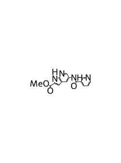 COC(=O)c1cc2cc(NC(=O)c3cccnc3)cnc2[nH]1